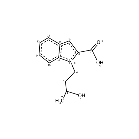 CC(O)CCn1c(C(=O)O)cc2ccccc21